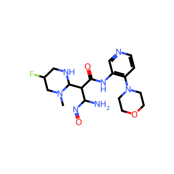 CN1CC(F)CNC1C(C(=O)Nc1cnccc1N1CCOCC1)C(N)N=O